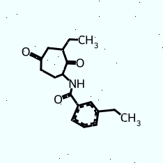 CCc1cccc(C(=O)NC2CCC(=O)CC(CC)C2=O)c1